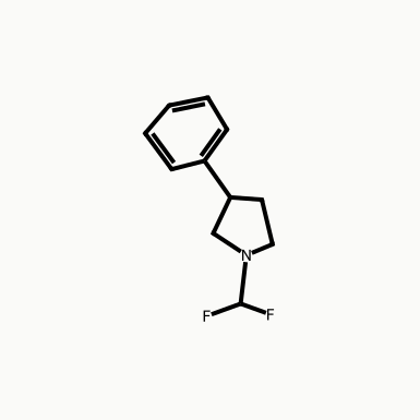 FC(F)N1CCC(c2ccccc2)C1